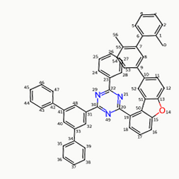 Cc1ccccc1-c1cc(-c2ccc3oc4cccc(-c5nc(-c6ccccc6)nc(-c6cc(-c7ccccc7)cc(-c7ccccc7)c6)n5)c4c3c2)ccc1C